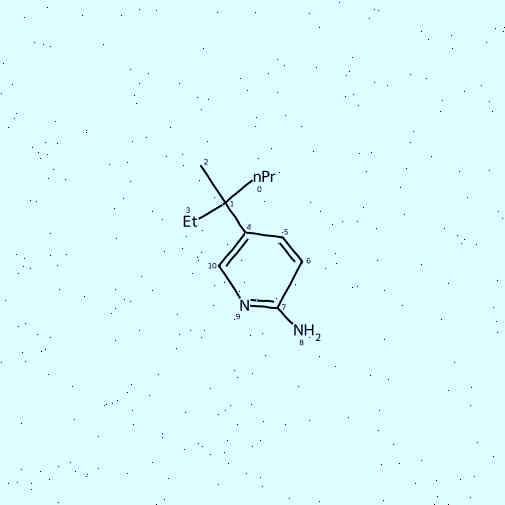 CCCC(C)(CC)c1ccc(N)nc1